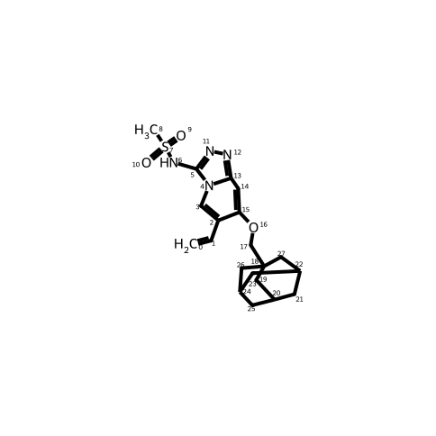 C=Cc1cn2c(NS(C)(=O)=O)nnc2cc1OCC12CC3CC(CC(C3)C1)C2